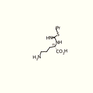 CC(C)SC(=N)N[C@@H](CCCN)C(=O)O